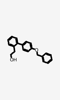 OCCc1ccccc1-c1ccc(OCc2ccccc2)cc1